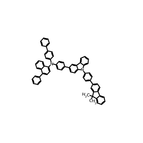 CC1(C)c2ccccc2-c2ccc(-c3ccc(-n4c5ccccc5c5cc(-c6ccc(N(c7ccc(-c8ccccc8)cc7)c7ccc(-c8ccccc8)c8ccccc78)cc6)ccc54)cc3)cc21